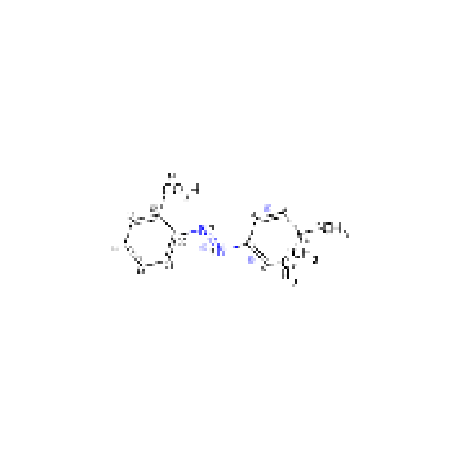 C=C(C)\C=C/C(=C\C)/N=N/c1ccccc1C(=O)O